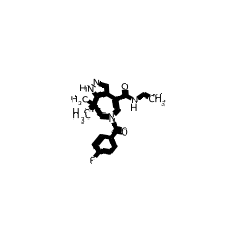 CCNC(=O)C1=CN(C(=O)c2ccc(F)cc2)CC(C)(C)c2[nH]ncc21